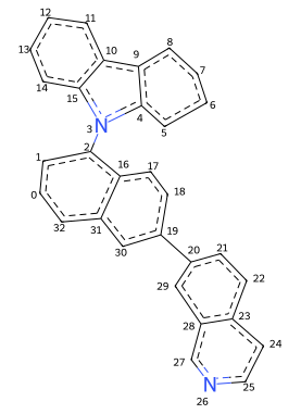 c1cc(-n2c3ccccc3c3ccccc32)c2ccc(-c3ccc4ccncc4c3)cc2c1